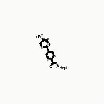 CCCCCCCOC(=O)c1ccc(-c2ncc(CCC)cn2)cc1